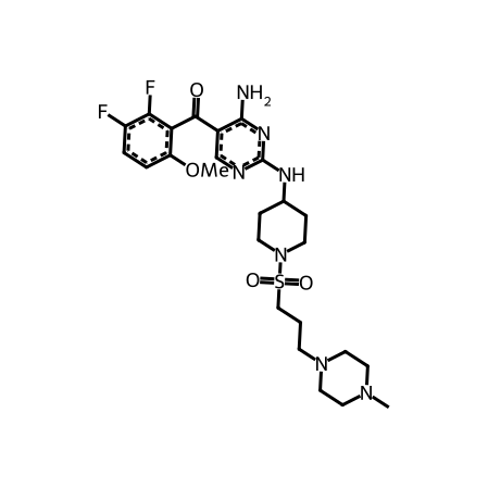 COc1ccc(F)c(F)c1C(=O)c1cnc(NC2CCN(S(=O)(=O)CCCN3CCN(C)CC3)CC2)nc1N